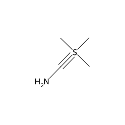 CS(C)(C)#CN